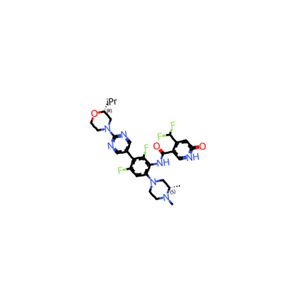 CC(C)[C@@H]1CN(c2ncc(-c3c(F)cc(N4CCN(C)[C@@H](C)C4)c(NC(=O)c4c[nH]c(=O)cc4C(F)F)c3F)cn2)CCO1